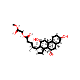 COC(=O)COC(=O)CC[C@@H](C)[C@H]1CC[C@H]2[C@@H]3[C@H](O)C[C@@H]4C[C@H](O)CC[C@]4(C)[C@H]3C[C@H](O)[C@]12C